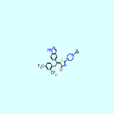 O=C1N=C(N2CCN(C3CC3)CC2)SC1=C(Cc1ccc(C(F)(F)F)cc1C(F)(F)F)c1ccc2[nH]ncc2c1